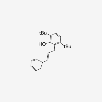 CC(C)(C)c1ccc(C(C)(C)C)c(CC=CC2C=CC=CC2)c1O